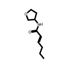 CCCC=CC(=O)NC1CCOC1